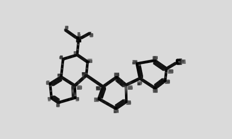 CN(C)C1Cc2ccccc2C(c2cccc(-c3ccc(Cl)cc3)c2)C1